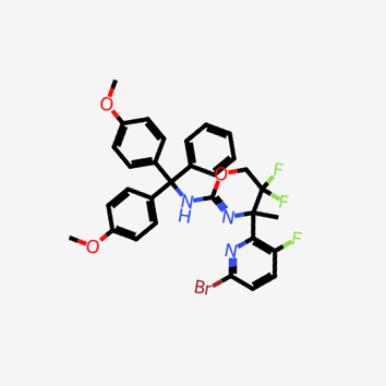 COc1ccc(C(NC2=NC(C)(c3nc(Br)ccc3F)C(F)(F)CO2)(c2ccccc2)c2ccc(OC)cc2)cc1